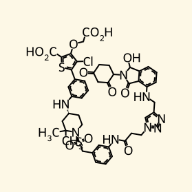 CC1(C)C[C@H](Nc2cccc(-c3sc(C(=O)O)c(OCC(=O)O)c3Cl)c2)CCN1S(=O)(=O)Cc1cccc(NC(=O)CCn2cc(CNc3cccc4c3C(=O)N(C3CCC(=O)CC3=O)C4O)nn2)c1